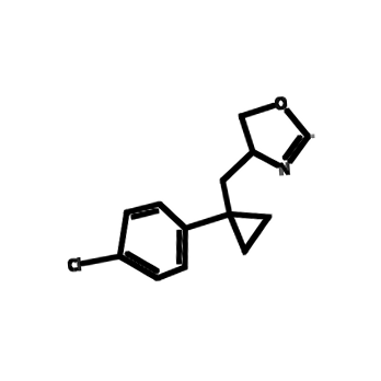 Clc1ccc(C2(CC3CO[C]=N3)CC2)cc1